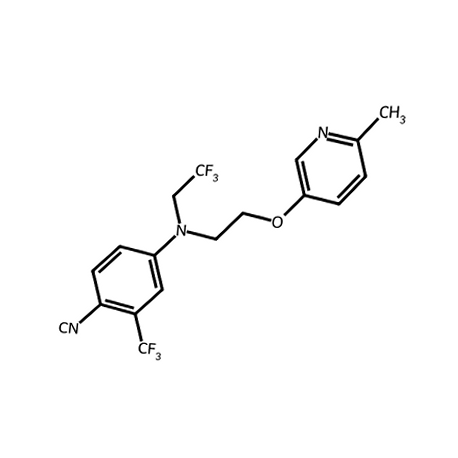 [C-]#[N+]c1ccc(N(CCOc2ccc(C)nc2)CC(F)(F)F)cc1C(F)(F)F